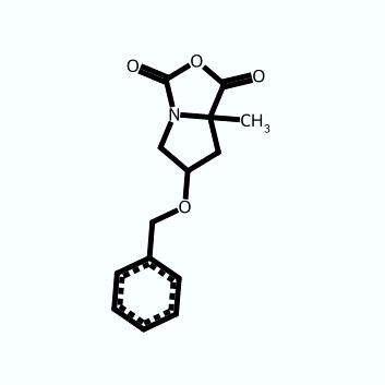 CC12CC(OCc3ccccc3)CN1C(=O)OC2=O